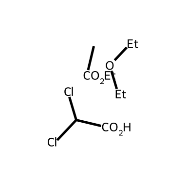 CCOC(C)=O.CCOCC.O=C(O)C(Cl)Cl